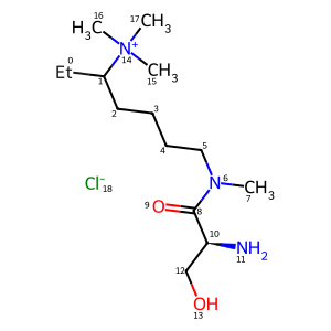 CCC(CCCCN(C)C(=O)[C@@H](N)CO)[N+](C)(C)C.[Cl-]